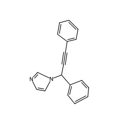 C(#CC(c1ccccc1)n1ccnc1)c1ccccc1